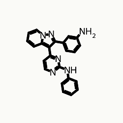 Nc1cccc(-c2nn3ccccc3c2-c2ccnc(Nc3ccccc3)n2)c1